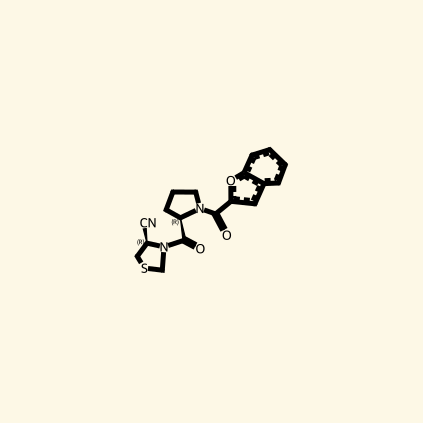 N#C[C@@H]1CSCN1C(=O)[C@H]1CCCN1C(=O)c1cc2ccccc2o1